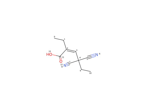 CC/C(=C/C(C#N)(C#N)CC)C(=O)O